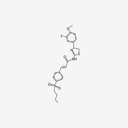 CCCCS(=O)(=O)c1ccc(/C=C/C(=O)NC2=NC(c3ccc(OC)c(F)c3)CS2)cc1